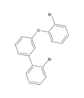 Brc1ccccc1Oc1cccc(-c2ccccc2Br)c1